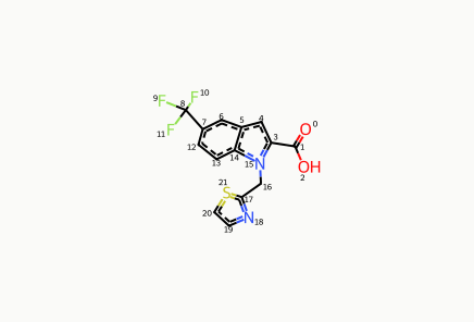 O=C(O)c1cc2cc(C(F)(F)F)ccc2n1Cc1nccs1